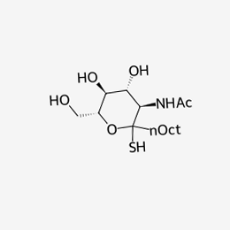 CCCCCCCCC1(S)O[C@H](CO)[C@@H](O)[C@H](O)[C@H]1NC(C)=O